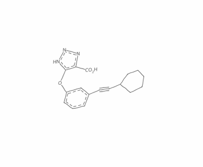 O=C(O)c1nn[nH]c1Oc1cccc(C#CC2CCCCC2)c1